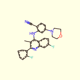 Cc1c(-c2ccccc2F)nc2cc(F)ccc2c1Nc1cc(N2CCOCC2)ccc1C#N